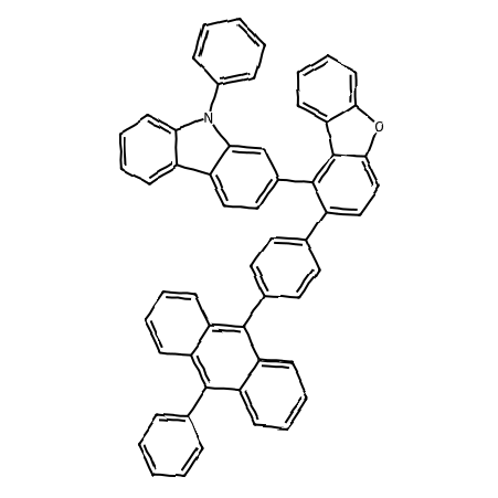 c1ccc(-c2c3ccccc3c(-c3ccc(-c4ccc5oc6ccccc6c5c4-c4ccc5c6ccccc6n(-c6ccccc6)c5c4)cc3)c3ccccc23)cc1